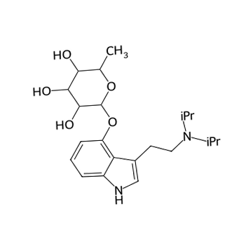 CC1OC(Oc2cccc3[nH]cc(CCN(C(C)C)C(C)C)c23)C(O)C(O)C1O